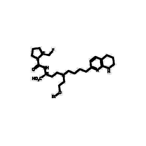 CCOCCN(CCCCc1ccc2c(n1)NCCC2)CC[C@H](NC(=O)N1CCC[C@H]1CF)C(=O)O